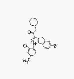 CC1C=C(Cl)C(n2nc(C(=O)CC3CCCCC3)c3c2-c2ccc(Br)cc2C3)=CC1